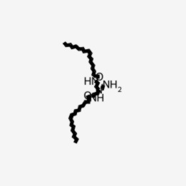 CCCCCCCC/C=C\CCCCCCCC(=O)NCCN(CCN)CCNC(=O)CCCCCCC/C=C\CCCCCCCC